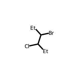 CCC(Cl)C(Br)CC